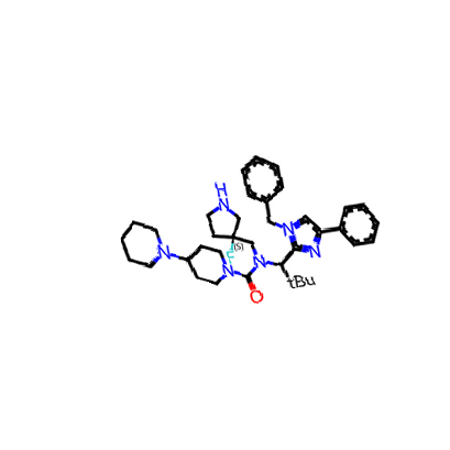 CC(C)(C)C(c1nc(-c2ccccc2)cn1Cc1ccccc1)N(C[C@]1(F)CCNC1)C(=O)N1CCC(N2CCCCC2)CC1